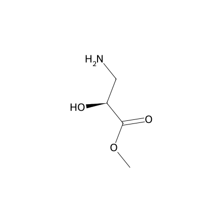 COC(=O)[C@@H](O)CN